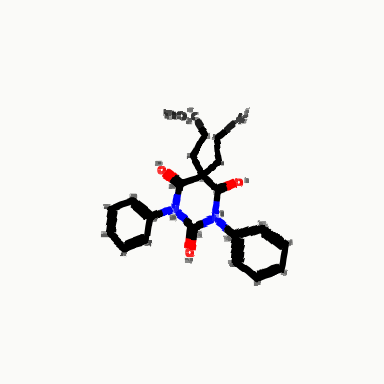 CCOC(=O)CCC1(CCC(C)=O)C(=O)N(c2ccccc2)C(=O)N(c2ccccc2)C1=O